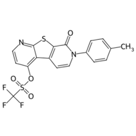 Cc1ccc(-n2ccc3c(sc4nccc(OS(=O)(=O)C(F)(F)F)c43)c2=O)cc1